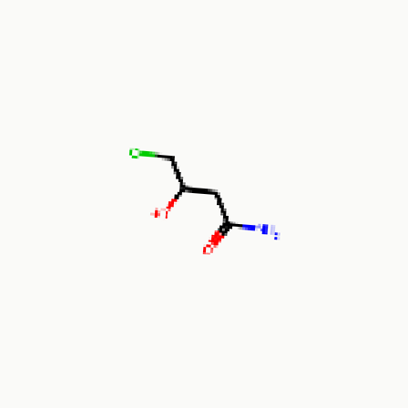 NC(=O)CC(O)CCl